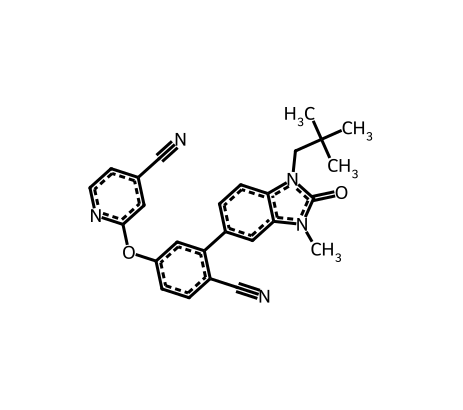 Cn1c(=O)n(CC(C)(C)C)c2ccc(-c3cc(Oc4cc(C#N)ccn4)ccc3C#N)cc21